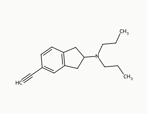 C#Cc1ccc2c(c1)CC(N(CCC)CCC)C2